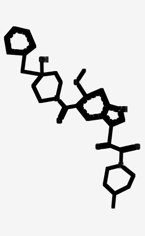 COc1cc2[nH]cc(C(=O)C(=O)N3CCC(C)CC3)c2cc1C(=O)N1CCC(O)(Cc2ccccc2)CC1